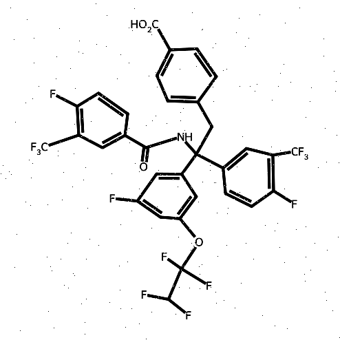 O=C(O)c1ccc(CC(NC(=O)c2ccc(F)c(C(F)(F)F)c2)(c2cc(F)cc(OC(F)(F)C(F)F)c2)c2ccc(F)c(C(F)(F)F)c2)cc1